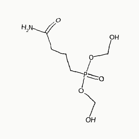 NC(=O)CCCP(=O)(OCO)OCO